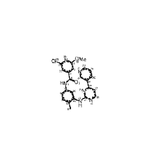 COc1cc(C(=O)Nc2ccc(C)c(Nc3nccc(-c4cccnc4)n3)c2)cc(Cl)n1